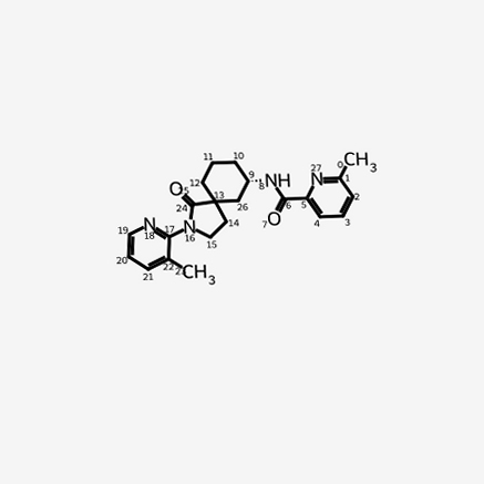 Cc1cccc(C(=O)N[C@H]2CCCC3(CCN(c4ncccc4C)C3=O)C2)n1